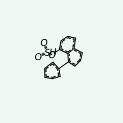 O=[SH](=O)Oc1cccc2cccc(-c3ccccc3)c12